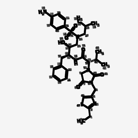 CCc1nc(CN2C(=O)CN([C@H](C(=O)N[C@@H](Cc3ccccc3)[C@@H](O)CN(CC(C)C)S(=O)(=O)c3ccc(N)cc3)C(C)C)C2=O)cs1